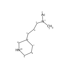 CC(=O)N(C)CCCC1CCCNC1